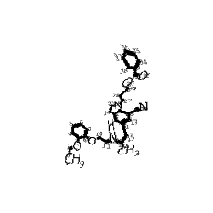 CCOc1ccccc1OCCNC(C)Cc1cc(C#N)c2c(c1)CCN2CCCOC(=O)c1ccccc1